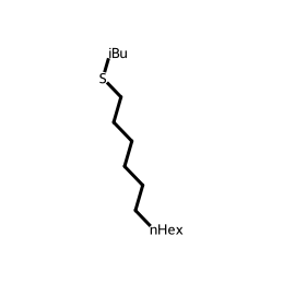 CCCCCCCCCCCCSC(C)CC